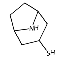 SC1CC2CCC(C1)N2